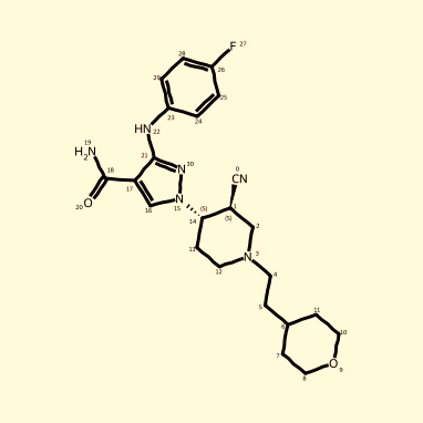 N#C[C@H]1CN(CCC2CCOCC2)CC[C@@H]1n1cc(C(N)=O)c(Nc2ccc(F)cc2)n1